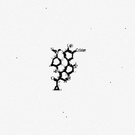 COc1cc(-c2cc3c(NC4CCC(N(C)C)CC4)c(C(=O)C4CC4)cnc3cc2F)ccc1O